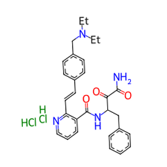 CCN(CC)Cc1ccc(C=Cc2ncccc2C(=O)NC(Cc2ccccc2)C(=O)C(N)=O)cc1.Cl.Cl